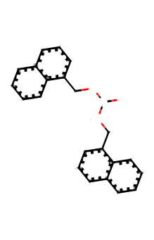 [O]B(OCc1cccc2ccccc12)OCc1cccc2ccccc12